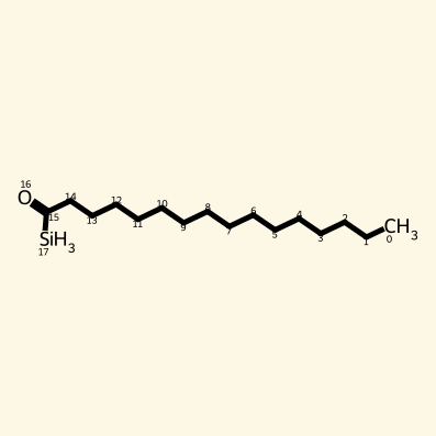 CCCCCCCCCCCCCCCC(=O)[SiH3]